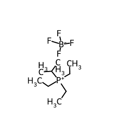 CC[P+](CC)(CC)C(C)C.F[B-](F)(F)F